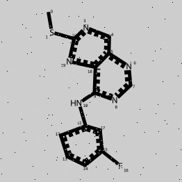 CSc1ncc2ncnc(Nc3cccc(F)c3)c2n1